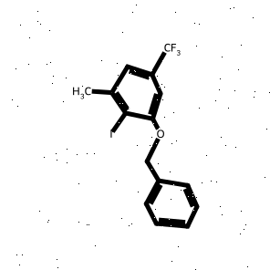 Cc1cc(C(F)(F)F)cc(OCc2ccccc2)c1I